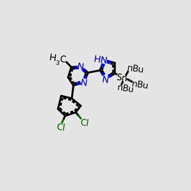 CCC[CH2][Sn]([CH2]CCC)([CH2]CCC)[c]1c[nH]c(-c2nc(C)cc(-c3ccc(Cl)c(Cl)c3)n2)n1